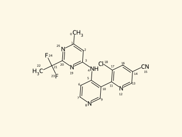 Cc1cc(Nc2ccncc2-c2ncc(C#N)cc2Cl)nc(C(C)(F)F)n1